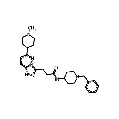 CN1CCC(c2ccc3nnc(CCC(=O)NC4CCN(Cc5ccccc5)CC4)n3n2)CC1